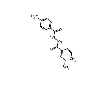 C/C=C\C(=C/CC)C(=O)NNC(=O)c1ccc(C)cc1